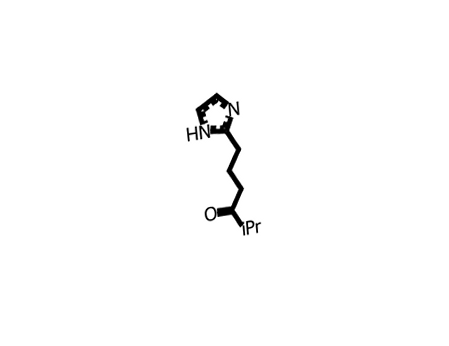 CC(C)C(=O)CCCc1ncc[nH]1